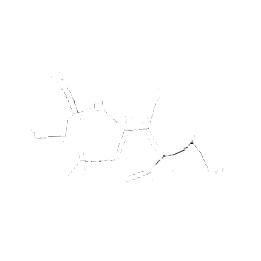 CCc1ccc2c(C)c(C)c(=O)oc2c1C